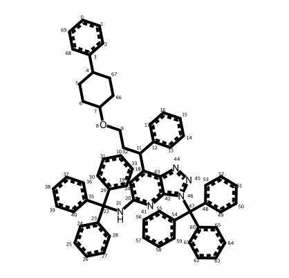 c1ccc(C2CCC(OCCC(c3ccccc3)c3cc(NC(c4ccccc4)(c4ccccc4)c4ccccc4)nc4c3nnn4C(c3ccccc3)(c3ccccc3)c3ccccc3)CC2)cc1